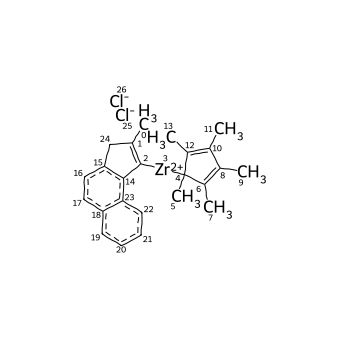 CC1=[C]([Zr+2][C]2(C)C(C)=C(C)C(C)=C2C)c2c(ccc3ccccc23)C1.[Cl-].[Cl-]